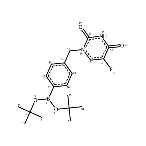 CC(C)(C)OB(OC(C)(C)C)c1ccc(Cn2cc(F)c(=O)[nH]c2=O)cc1